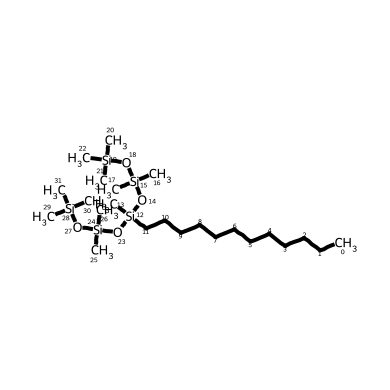 CCCCCCCCCCCC[Si](C)(O[Si](C)(C)O[Si](C)(C)C)O[Si](C)(C)O[Si](C)(C)C